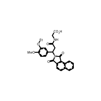 CCOc1cc(C(CC(=O)NCC(=O)O)N2C(=O)c3ccc4ccccc4c3C2=O)ccc1OC